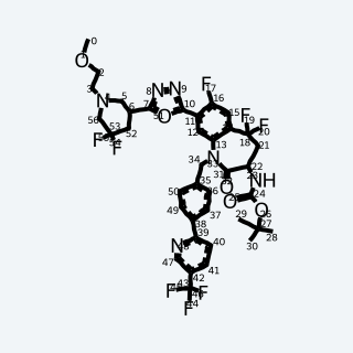 COCCN1CC(c2nnc(-c3cc4c(cc3F)C(F)(F)CC(NC(=O)OC(C)(C)C)C(=O)N4Cc3ccc(-c4ccc(C(F)(F)F)cn4)cc3)o2)CC(F)(F)C1